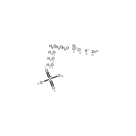 O.O.O.O.O.O.O.O=S(=O)([O-])[O-].[Cl-].[K+].[Zn+2]